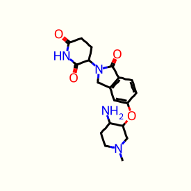 CN1CCC(N)C(Oc2ccc3c(c2)CN(C2CCC(=O)NC2=O)C3=O)C1